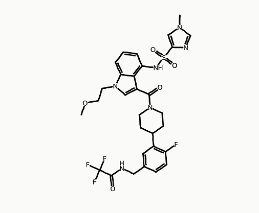 COCCn1cc(C(=O)N2CCC(c3cc(CNC(=O)C(F)(F)F)ccc3F)CC2)c2c(NS(=O)(=O)c3cn(C)cn3)cccc21